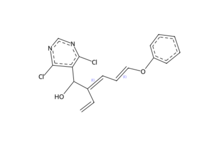 C=C/C(=C\C=C\Oc1ccccc1)C(O)c1c(Cl)ncnc1Cl